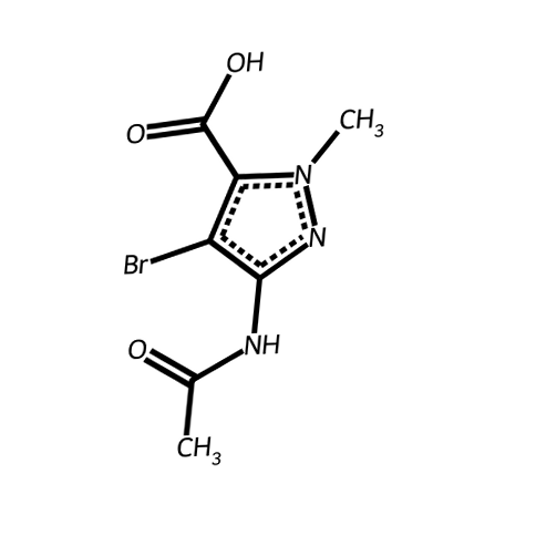 CC(=O)Nc1nn(C)c(C(=O)O)c1Br